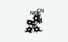 Cc1ccc(N(c2ccc(C)cc2)c2sc(-c3ccc(N=C(C#N)C#N)c4nsnc34)c3ccccc23)cc1